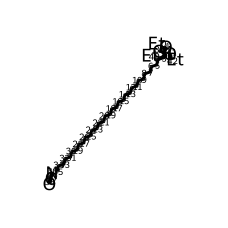 CCO[Si](CCCCCCCCCCCCCCCCCCCCCCCCCCCCCCCCCN=C=O)(OCC)OCC